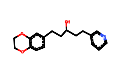 OC(CCc1cccnc1)CCc1ccc2c(c1)OCCO2